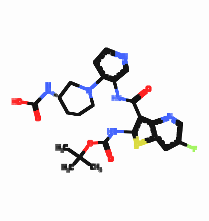 CC(C)(C)OC(=O)Nc1sc2cc(F)cnc2c1C(=O)Nc1cnccc1N1CCC[C@H](NC(=O)O)C1